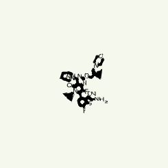 N#Cc1c(N)sc2c(F)ccc(-c3c(F)c4nc(OCC5(CN6CCOCC6)CC5)nc(N5CC6CCC(C5)N6)c4c(=O)n3C3CC3)c12